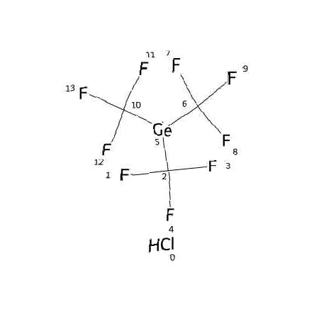 Cl.F[C](F)(F)[Ge]([C](F)(F)F)[C](F)(F)F